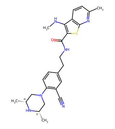 CNc1c(C(=O)NCCc2ccc(N3C[C@@H](C)N[C@@H](C)C3)c(C#N)c2)sc2nc(C)ccc12